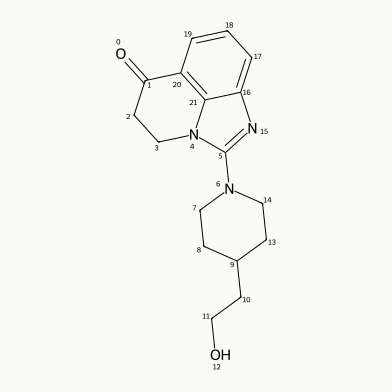 O=C1CCn2c(N3CCC(CCO)CC3)nc3cccc1c32